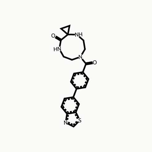 O=C(c1ccc(-c2ccc3ncsc3c2)cc1)N1CCNC(=O)C2(CC2)NCC1